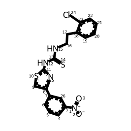 O=[N+]([O-])c1cccc(-c2csc(NC(=S)NCCc3ccccc3Cl)n2)c1